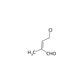 C/C(C=O)=C/CCl